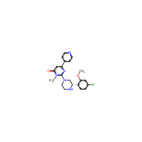 COc1cc(F)ccc1[C@H]1CN(c2nc(-c3ccncc3)cc(=O)n2C)CCN1